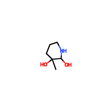 CC1(O)CCCNC1O